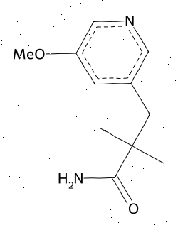 COc1cncc(CC(C)(C)C(N)=O)c1